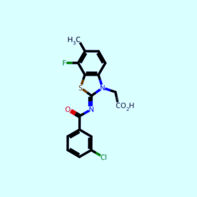 Cc1ccc2c(sc(=NC(=O)c3cccc(Cl)c3)n2CC(=O)O)c1F